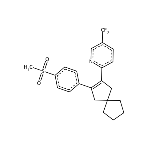 CS(=O)(=O)c1ccc(C2=C(c3ccc(C(F)(F)F)cn3)CC3(CCCC3)C2)cc1